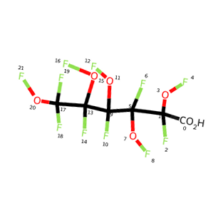 O=C(O)C(F)(OF)C(F)(OF)C(F)(OF)C(F)(OF)C(F)(F)OF